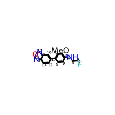 COc1cc(NCCF)ccc1-c1ccc2nonc2c1